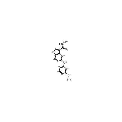 CC(C)NC(=O)c1c[nH]c2ncc(Oc3cccc(OC(F)(F)F)c3)nc12